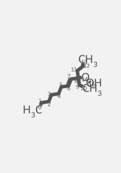 CCCCCCC=CC(CC)(CCC)OO